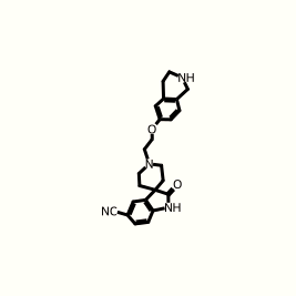 N#Cc1ccc2c(c1)C1(CCN(CCOc3ccc4c(c3)CCNC4)CC1)C(=O)N2